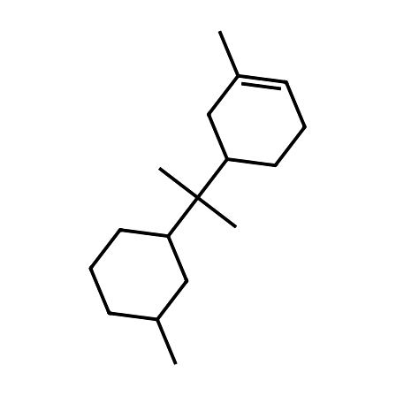 CC1=CCCC(C(C)(C)C2CCCC(C)C2)C1